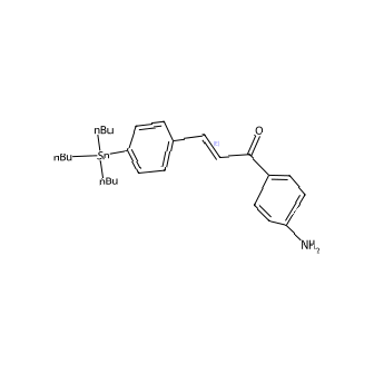 CCC[CH2][Sn]([CH2]CCC)([CH2]CCC)[c]1ccc(/C=C/C(=O)c2ccc(N)cc2)cc1